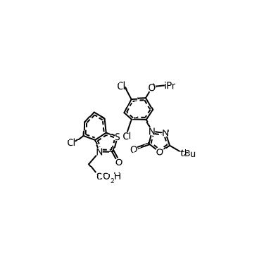 CC(C)Oc1cc(-n2nc(C(C)(C)C)oc2=O)c(Cl)cc1Cl.O=C(O)Cn1c(=O)sc2cccc(Cl)c21